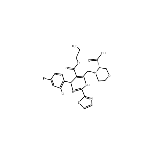 CCCOC(=O)C1=C(CN2CCOC[C@H]2C(=O)O)NC(c2nccs2)=N[C@H]1c1ccc(F)cc1Cl